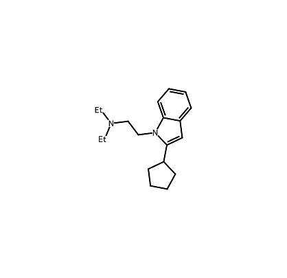 CCN(CC)CCn1c(C2CCCC2)cc2ccccc21